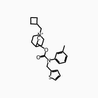 Cc1cccc(N(Cc2cccs2)C(=O)OC2C[N+]3(CC4CCC4)CCC2CC3)c1